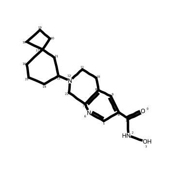 O=C(NO)c1cnc2c(c1)CCN(C1CCCC3(CCC3)C1)C2